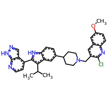 COc1ccc2nc(Cl)c(CN3CCC(c4ccc5[nH]c(-c6ccnc7[nH]ncc67)c(C(C)C)c5c4)CC3)cc2c1